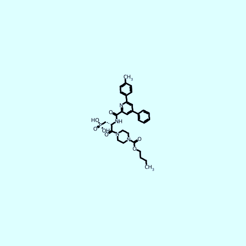 CCCCOC(=O)N1CCN(C(=O)[C@H](CP(=O)(O)O)NC(=O)c2cc(-c3ccccc3)cc(-c3ccc(C)cc3)n2)CC1